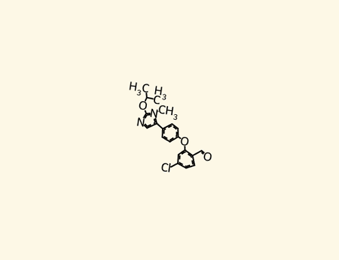 CC(C)Oc1ncc(-c2ccc(Oc3cc(Cl)ccc3C=O)cc2)n1C